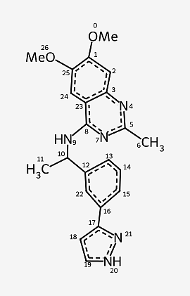 COc1cc2nc(C)nc(NC(C)c3cccc(-c4cc[nH]n4)c3)c2cc1OC